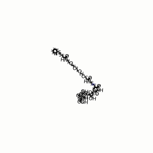 O=C(CCOCCOCCOCCOCCNC(=O)CCSSc1ccccn1)NC/C=C/c1cn([C@H]2CC(O)[C@@H](COP(=O)(O)OP(=O)(O)OP(=O)(O)O)O2)c(=O)[nH]c1=O